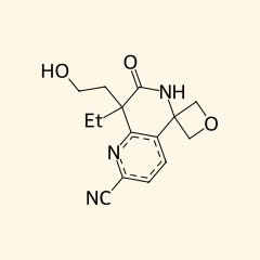 CCC1(CCO)C(=O)NC2(COC2)c2ccc(C#N)nc21